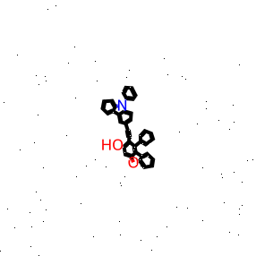 Oc1cc2oc3ccccc3c2c(-c2ccccc2)c1C#Cc1ccc2c(c1)c1ccccc1n2-c1ccccc1